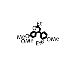 CCOc1cc(C(CC(=O)CC)c2ccc(OC)c(OC)c2)ccc1OC